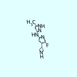 Cc1cc(Nc2cc(C3CNC3)c(F)cn2)n[nH]1